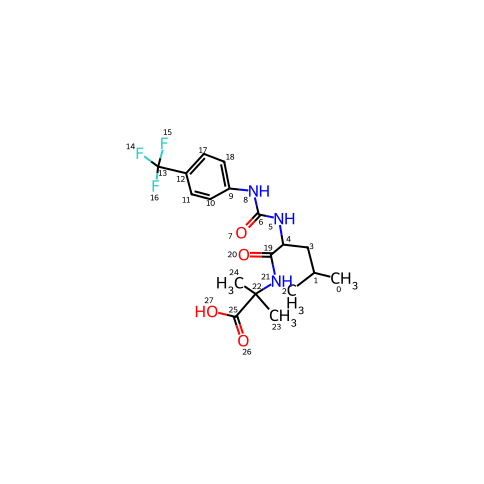 CC(C)CC(NC(=O)Nc1ccc(C(F)(F)F)cc1)C(=O)NC(C)(C)C(=O)O